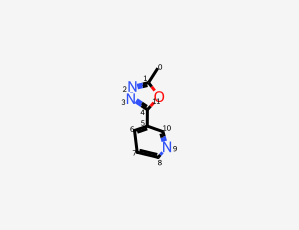 Cc1nnc(-c2cccnc2)o1